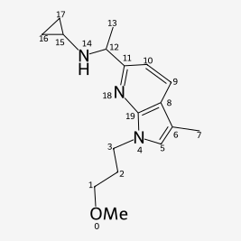 COCCCn1cc(C)c2ccc(C(C)NC3CC3)nc21